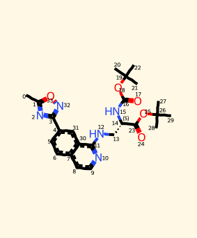 Cc1nc(-c2ccc3ccnc(NC[C@H](NC(=O)OC(C)(C)C)C(=O)OC(C)(C)C)c3c2)no1